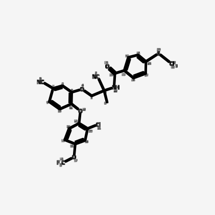 CC(C#N)(COc1cc(C#N)ccc1Oc1ccc(OC(F)(F)F)cc1Cl)NC(=O)c1ccc(SC(F)(F)F)cc1